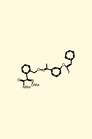 CNC(=O)C(=NOC)c1ccccc1CO/N=C(\C)c1cccc(O/C(F)=C\c2ccccc2)c1